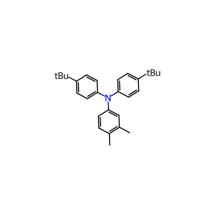 Cc1ccc(N(c2ccc(C(C)(C)C)cc2)c2ccc(C(C)(C)C)cc2)cc1C